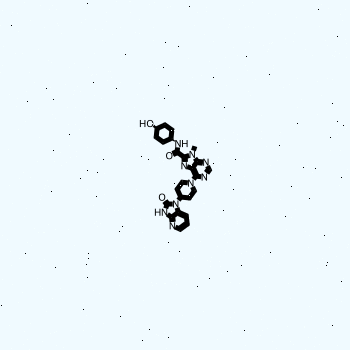 Cn1c(C(=O)N[C@H]2CC[C@H](O)CC2)nc2c(N3CCC(n4c(=O)[nH]c5ncccc54)CC3)ncnc21